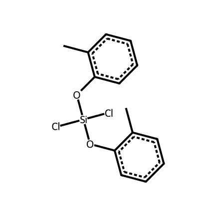 Cc1ccccc1O[Si](Cl)(Cl)Oc1ccccc1C